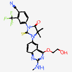 CNc1nc(OCCO)c2cc(N3C(=S)N(c4ccc(C#N)c(C(F)(F)F)c4)C(=O)C3(C)C)ccc2n1